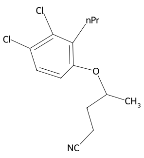 CCCc1c(OC(C)CCC#N)ccc(Cl)c1Cl